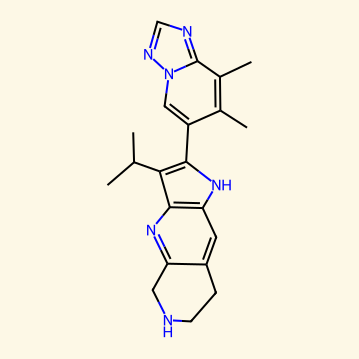 Cc1c(-c2[nH]c3cc4c(nc3c2C(C)C)CNCC4)cn2ncnc2c1C